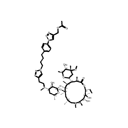 CC[C@H]1OC(=O)[C@H](C)[C@@H](C2C[C@@](C)(OC)[C@@H](O)[C@H](C)O2)[C@H](C)[C@@H](O[C@@H]2O[C@H](C)C[C@H](N(C)CCc3cn(CCCCc4ccc(-n5cc(COC(C)=O)nn5)cc4)nn3)[C@H]2O)[C@](C)(O)C[C@@H](C)CN(C)[C@H](C)[C@@H](O)[C@]1(C)O